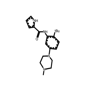 CN1CCN(c2ccc(C(C)(C)C)c(NC(=O)c3ccc[nH]3)c2)CC1